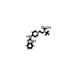 CC(C)(C)N(CCN1CCC(Nc2nc3ccccc3[nH]2)CC1)C(=O)O